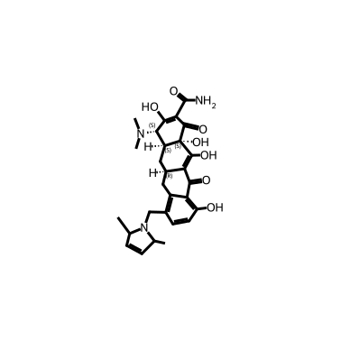 CC1C=CC(C)N1Cc1ccc(O)c2c1C[C@H]1C[C@H]3[C@H](N(C)C)C(O)=C(C(N)=O)C(=O)[C@@]3(O)C(O)=C1C2=O